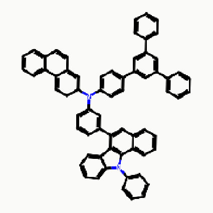 C1=c2ccc3ccccc3c2=CCC1N(c1ccc(-c2cc(-c3ccccc3)cc(-c3ccccc3)c2)cc1)c1cccc(-c2cc3ccccc3c3c2c2ccccc2n3-c2ccccc2)c1